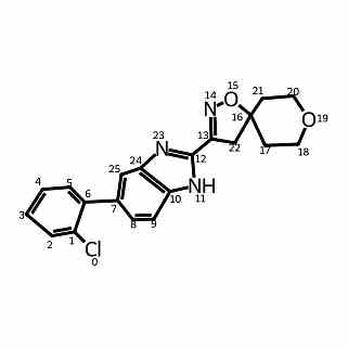 Clc1ccccc1-c1ccc2[nH]c(C3=NOC4(CCOCC4)C3)nc2c1